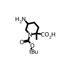 CC(C)(C)OC(=O)N1CC(N)CCC1(C)C(=O)O